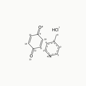 Cc1ccncc1.Cl.O=C1C=CC(=O)C=C1